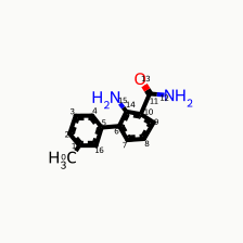 Cc1cccc(-c2cccc(C(N)=O)c2N)c1